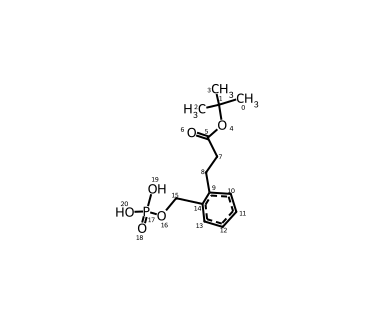 CC(C)(C)OC(=O)CCc1ccccc1COP(=O)(O)O